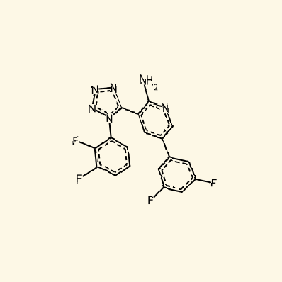 Nc1ncc(-c2cc(F)cc(F)c2)cc1-c1nnnn1-c1cccc(F)c1F